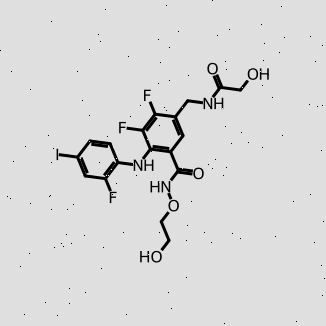 O=C(CO)NCc1cc(C(=O)NOCCO)c(Nc2ccc(I)cc2F)c(F)c1F